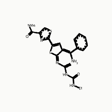 C=C(/N=C1/SC(c2nc(C(=O)NC)cs2)=C/C1=C(/N)c1ccccc1)NC(=O)NCC